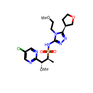 COCCn1c(NS(=O)(=O)[C@@H](C)[C@H](OC)c2ncc(Cl)cn2)nnc1[C@H]1CCOC1